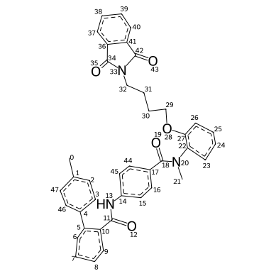 Cc1ccc(-c2ccccc2C(=O)Nc2ccc(C(=O)N(C)c3ccccc3OCCCCN3C(=O)c4ccccc4C3=O)cc2)cc1